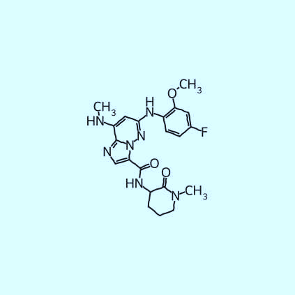 CNc1cc(Nc2ccc(F)cc2OC)nn2c(C(=O)NC3CCCN(C)C3=O)cnc12